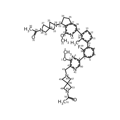 COc1nc(-c2cccc(-c3cccc(-c4cc5c(c(OC)n4)[C@@H](N4CC6(CN(C(C)=O)C6)C4)CC5)c3C)c2F)cnc1CN1CC2(C1)CN(C(C)=O)C2